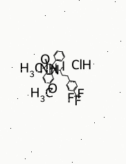 CNC(=O)C(c1ccccc1)N(c1cccc(OC)c1)[C@@H](I)CCc1ccc(C(F)(F)F)cc1.Cl